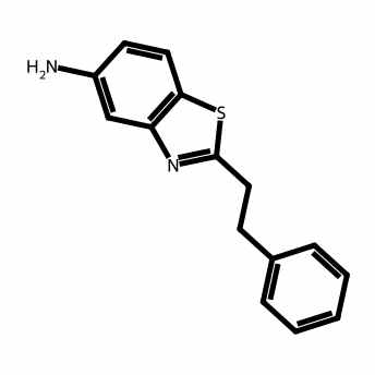 Nc1ccc2sc(CCc3ccccc3)nc2c1